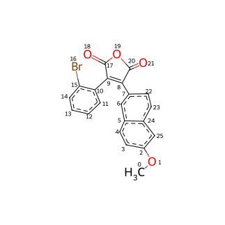 COc1ccc2cc(C3=C(c4ccccc4Br)C(=O)OC3=O)ccc2c1